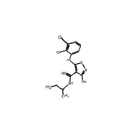 CC(CO)NC(=N)c1c(O)nsc1Nc1cccc(Cl)c1Cl